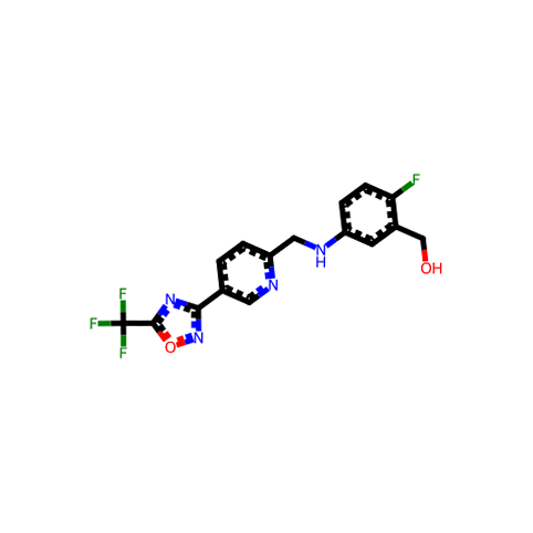 OCc1cc(NCc2ccc(-c3noc(C(F)(F)F)n3)cn2)ccc1F